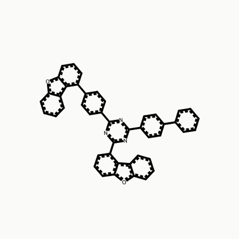 c1ccc(-c2ccc(-c3nc(-c4ccc(-c5cccc6oc7ccccc7c56)cc4)nc(-c4cccc5oc6ccccc6c45)n3)cc2)cc1